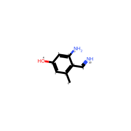 Cc1cc(O)cc(N)c1C=N